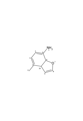 CC1=CC=C(N)C2OC=CC12